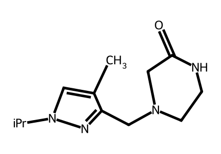 Cc1cn(C(C)C)nc1CN1CCNC(=O)C1